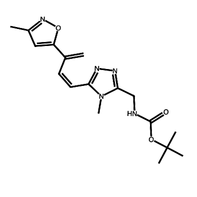 C=C(/C=C\c1nnc(CNC(=O)OC(C)(C)C)n1C)c1cc(C)no1